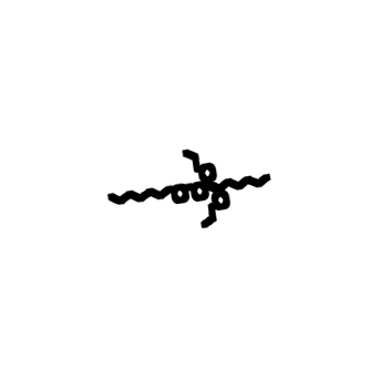 CCCCCCCOCO/C(OCCC)=C(/CCCCC)OCCC